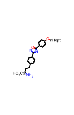 CCCCCCCOc1ccc(-c2nc(-c3ccc(CC[C@H](N)C(=O)O)cc3)no2)cc1